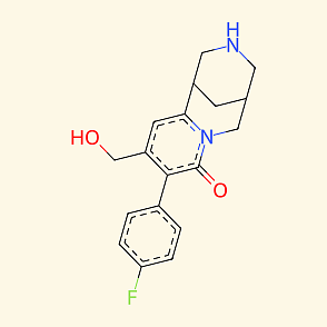 O=c1c(-c2ccc(F)cc2)c(CO)cc2n1CC1CNCC2C1